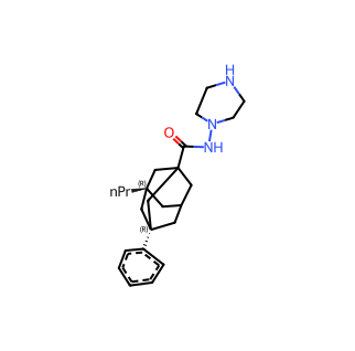 CCC[C@]12CC3CC(C(=O)NN4CCNCC4)(C1)C[C@@](c1ccccc1)(C3)C2